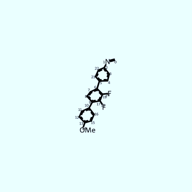 C=Nc1ccc(-c2ccc(-c3ccc(OC)cc3)c(F)c2F)cc1